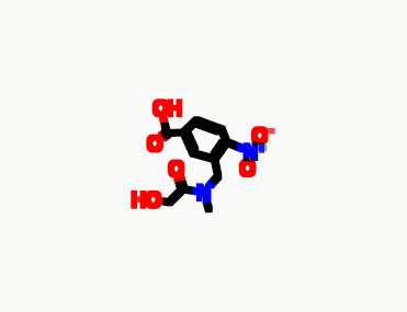 CN(Cc1cc(C(=O)O)ccc1[N+](=O)[O-])C(=O)CO